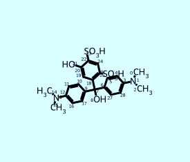 CN(C)c1ccc(C(O)(c2ccc(N(C)C)cc2)c2cc(O)c(S(=O)(=O)O)cc2S(=O)(=O)O)cc1